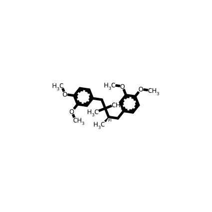 COc1ccc(C[C@@H](C)C(C)(C)Cc2ccc(OC)c(OC)c2)cc1OC